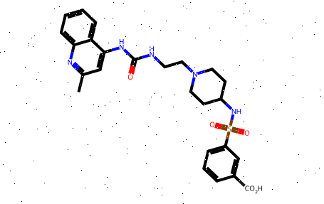 Cc1cc(NC(=O)NCCN2CCC(NS(=O)(=O)c3cccc(C(=O)O)c3)CC2)c2ccccc2n1